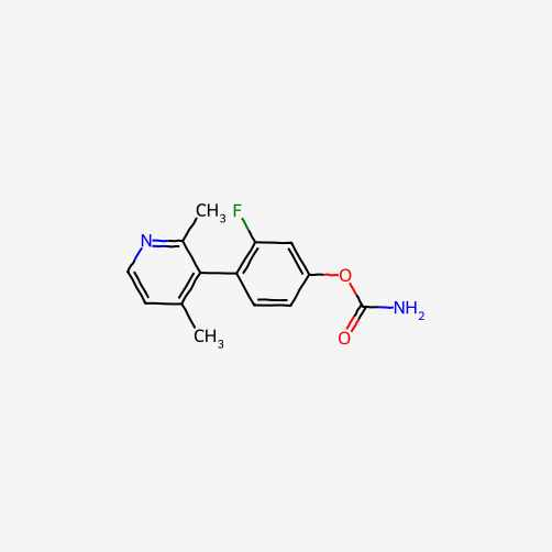 Cc1ccnc(C)c1-c1ccc(OC(N)=O)cc1F